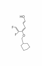 O/C=C/C=C(OCC1CCCCC1)\C(F)=C\F